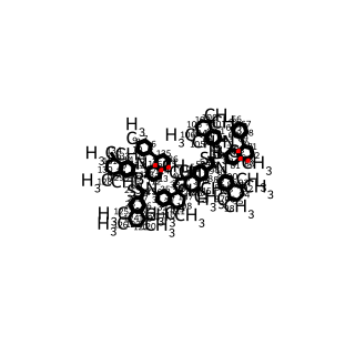 Cc1ccc(-c2ccc(C)cc2N2c3cc4c(cc3B3c5sc6cc7c(cc6c5N(c5ccc6c(c5)C(C)(CCC5(C)CCC(C)(C)c8cc9c%10c(sc9cc85)B5c8cc9c(cc8N(c8ccccc8-c8ccccc8C)c8cc(C)cc(c85)N%10c5ccc8c(c5)C(C)(C)CCC8(C)C)C(C)(C)CCC9(C)C)CCC6(C)C)c5cc(C)cc2c53)C(C)(C)CCC7(C)C)C(C)(C)CCC4(C)C)cc1